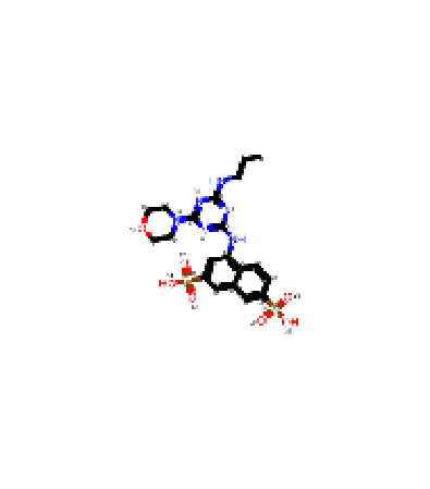 CCCNc1nc(Nc2cc(S(=O)(=O)O)cc3cc(S(=O)(=O)O)ccc23)nc(N2CCOCC2)n1